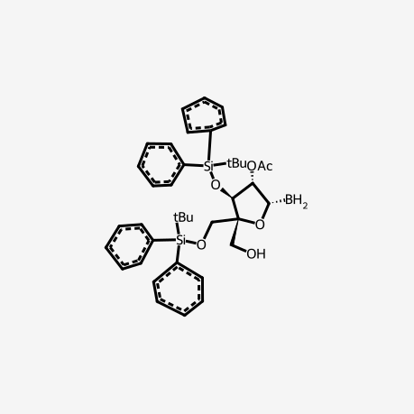 B[C@@H]1O[C@](CO)(CO[Si](c2ccccc2)(c2ccccc2)C(C)(C)C)[C@@H](O[Si](c2ccccc2)(c2ccccc2)C(C)(C)C)[C@@H]1OC(C)=O